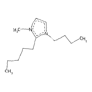 CCCCCc1n(CCCC)cc[n+]1C